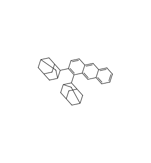 c1ccc2cc3c(C4C5CC6CC(C5)CC4C6)c(C4C5CC6CC(C5)CC4C6)ccc3cc2c1